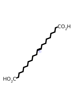 O=C(O)CCCCCCC/C=C/CCCCCCCCCC(=O)O